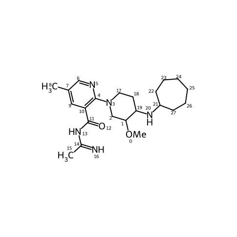 COC1CN(c2ncc(C)cc2C(=O)NC(C)=N)CCC1NC1CCCCCC1